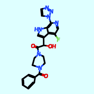 O=C(c1ccccc1)N1CCN(C(=O)C(O)c2c[nH]c3c(-n4ccnn4)ncc(F)c23)CC1